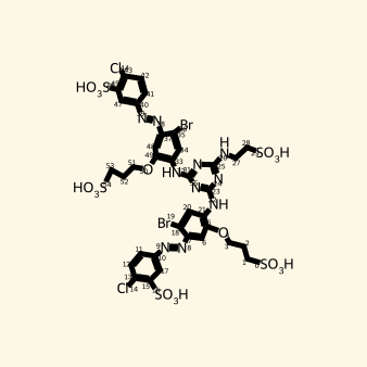 O=S(=O)(O)CCCOc1cc(N=Nc2ccc(Cl)c(S(=O)(=O)O)c2)c(Br)cc1Nc1nc(NCCS(=O)(=O)O)nc(Nc2cc(Br)c(N=Nc3ccc(Cl)c(S(=O)(=O)O)c3)cc2OCCCS(=O)(=O)O)n1